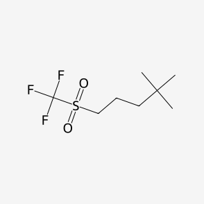 CC(C)(C)CCCS(=O)(=O)C(F)(F)F